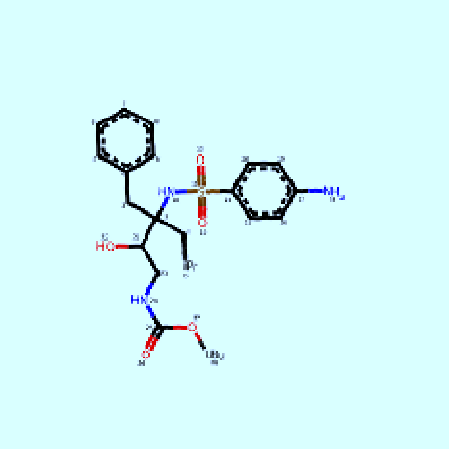 CC(C)CC(Cc1ccccc1)(NS(=O)(=O)c1ccc(N)cc1)C(O)CNC(=O)OC(C)(C)C